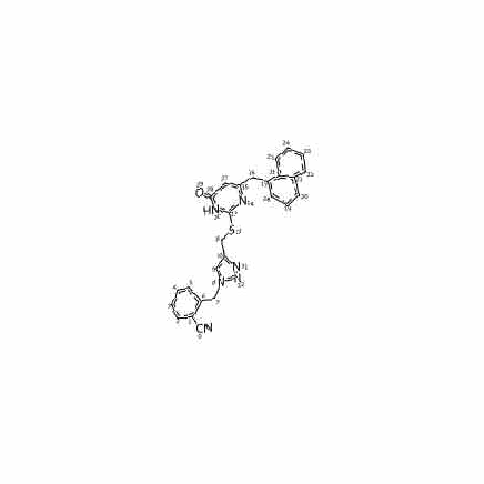 N#Cc1ccccc1Cn1cc(CSc2nc(Cc3cccc4ccccc34)cc(=O)[nH]2)nn1